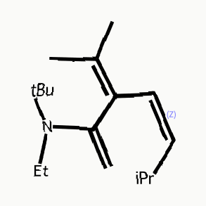 C=C(C(/C=C\C(C)C)=C(C)C)N(CC)C(C)(C)C